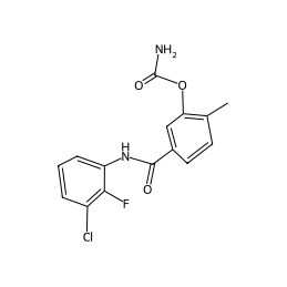 Cc1ccc(C(=O)Nc2cccc(Cl)c2F)cc1OC(N)=O